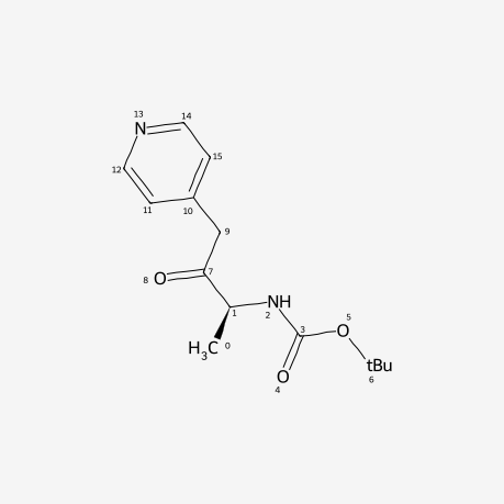 C[C@H](NC(=O)OC(C)(C)C)C(=O)Cc1ccncc1